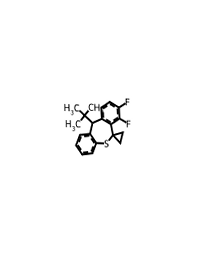 CC(C)(C)C1c2ccccc2SC2(CC2)c2c1ccc(F)c2F